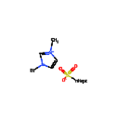 CCCCCCCS(=O)(=O)[O-].CCn1cc[n+](C)c1